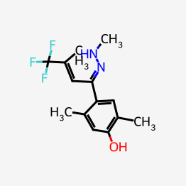 CN/N=C(\C=C(/C)C(F)(F)F)c1cc(C)c(O)cc1C